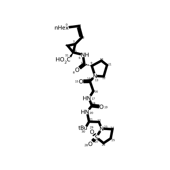 CCCCCC/C=C\C1C[C@]1(NC(=O)[C@@H]1CCCN1C(=O)CNC(=O)NC(CN1CCCS1(=O)=O)C(C)(C)C)C(=O)O